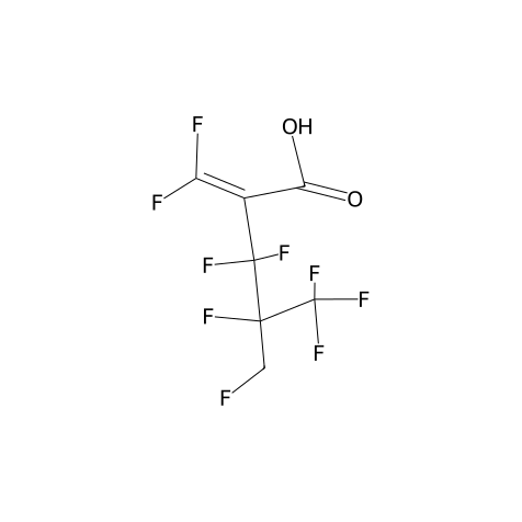 O=C(O)C(=C(F)F)C(F)(F)C(F)(CF)C(F)(F)F